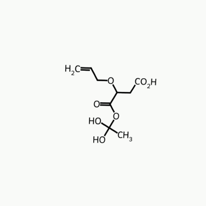 C=CCOC(CC(=O)O)C(=O)OC(C)(O)O